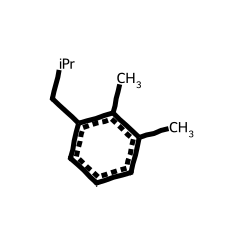 Cc1c[c]cc(CC(C)C)c1C